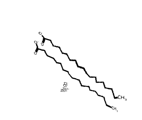 CCCCCCCCCCCCCCCCCC(=O)[O-].CCCCCCCCCCCCCCCCCC(=O)[O-].[Cl-].[Cl-].[Zn+2].[Zn+2]